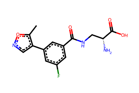 Cc1oncc1-c1cc(F)cc(C(=O)NC[C@@H](N)C(=O)O)c1